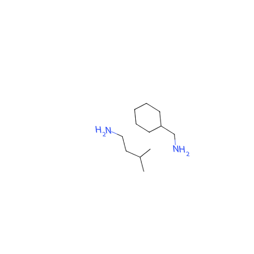 CC(C)CCN.NCC1CCCCC1